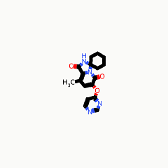 Cc1cc(Oc2ccncn2)c(=O)n2c1C(=O)NC21CCCCC1